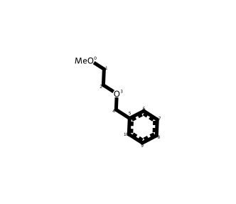 COCCOCc1ccccc1